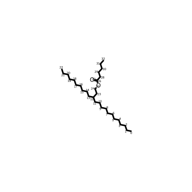 CCCCCCCCCCCCC(CCCCCCCCCC)CCOC(=O)CCCCC